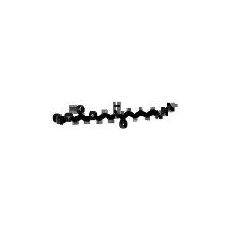 [N-]=[N+]=NCCCCCC(=O)NCCCOCC(O)COP=O